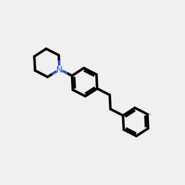 [c]1cccc(CCc2ccc(N3CCCCC3)cc2)c1